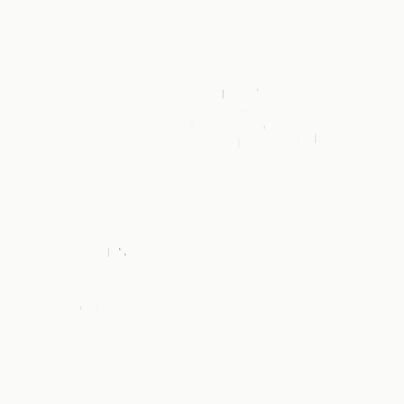 CCCNCCCc1ccc(OC(C)(C)C(=O)OCC)cc1